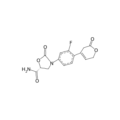 NC(=O)[C@H]1CN(c2ccc(C3=CCOC(=O)C3)c(F)c2)C(=O)O1